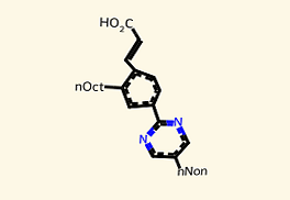 CCCCCCCCCc1cnc(-c2ccc(C=CC(=O)O)c(CCCCCCCC)c2)nc1